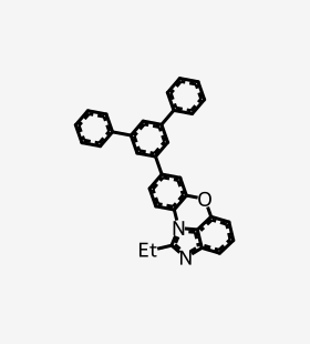 CCc1nc2cccc3c2n1-c1ccc(-c2cc(-c4ccccc4)cc(-c4ccccc4)c2)cc1O3